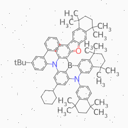 CC(C)(C)c1ccc(N2c3cc(C4CCCCC4)cc4c3B(c3cc5c(cc3N4c3ccc4c(c3)C(C)(C)CCC4(C)C)C(C)(C)CCC5(C)C)c3c2ccc2c3oc3cc4c(cc32)C(C)(C)CCC4(C)C)c(-c2ccccc2)c1